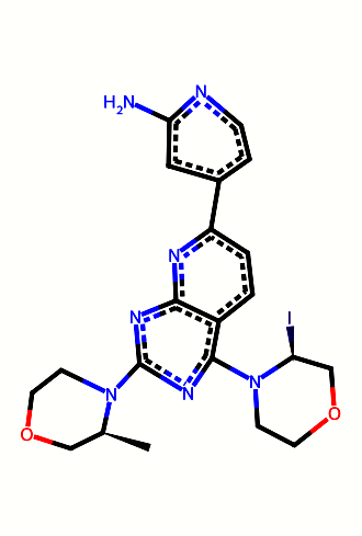 C[C@H]1COCCN1c1nc(N2CCOC[C@@H]2I)c2ccc(-c3ccnc(N)c3)nc2n1